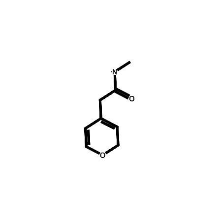 C[N]C(=O)CC1=CCOC=C1